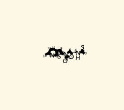 CC(=S)NC[C@H]1CN(c2cc3ccc(C)nc3s2)C(=O)O1